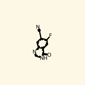 N#Cc1cc2nc[nH]c(=O)c2cc1F